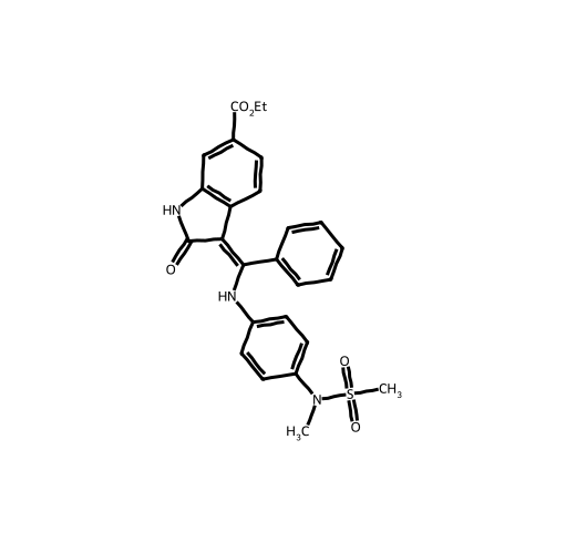 CCOC(=O)c1ccc2c(c1)NC(=O)/C2=C(\Nc1ccc(N(C)S(C)(=O)=O)cc1)c1ccccc1